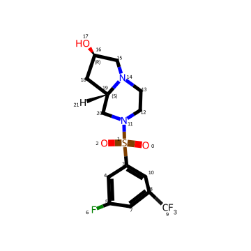 O=S(=O)(c1cc(F)cc(C(F)(F)F)c1)N1CCN2C[C@H](O)C[C@H]2C1